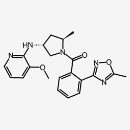 COc1cccnc1N[C@@H]1C[C@@H](C)N(C(=O)c2ccccc2-c2noc(C)n2)C1